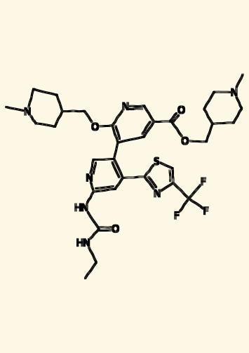 CCNC(=O)Nc1cc(-c2nc(C(F)(F)F)cs2)c(-c2cc(C(=O)OCC3CCN(C)CC3)cnc2OCC2CCN(C)CC2)cn1